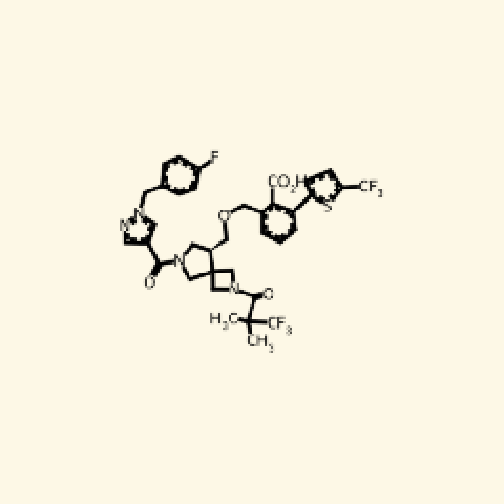 CC(C)(C(=O)N1CC2(CN(C(=O)c3cnn(Cc4ccc(F)cc4)c3)C[C@H]2COCc2cccc(-c3ccc(C(F)(F)F)s3)c2C(=O)O)C1)C(F)(F)F